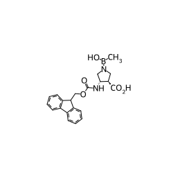 CB(O)N1C[C@@H](NC(=O)OCC2c3ccccc3-c3ccccc32)[C@H](C(=O)O)C1